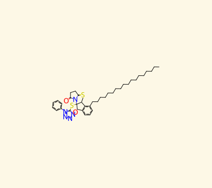 CCCCCCCCCCCCCCCCCCc1cccc2c1C(C)C(Sc1nnnn1-c1ccccc1)(N1C(=O)CCC1=S)C2=O